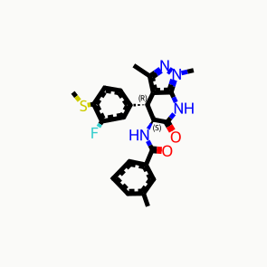 CSc1ccc([C@@H]2c3c(C)nn(C)c3NC(=O)[C@H]2NC(=O)c2cccc(C)c2)cc1F